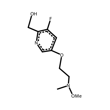 CON(C)CCOc1cnc(CO)c(F)c1